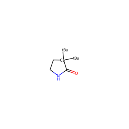 C[C](C)(C)[Ca]1([C](C)(C)C)[CH2]CN[C]1=O